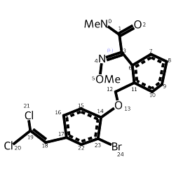 CNC(=O)/C(=N/OC)c1ccccc1COc1ccc(C=C(Cl)Cl)cc1Br